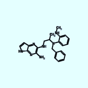 CNc1ccccc1N(Cc1ccccc1)C(C)CNc1nc2cc[nH]c2nc1N